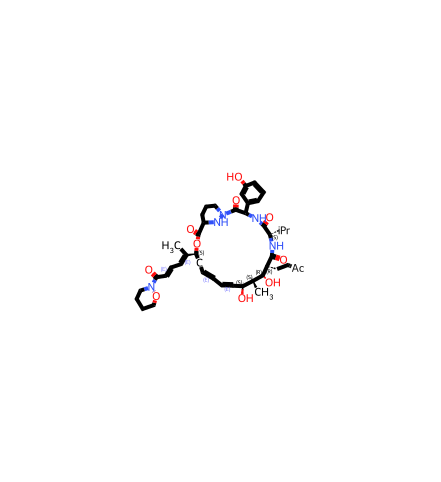 CC(=O)CC[C@H]1C(=O)N[C@@H](C(C)C)C(=O)NC(c2cccc(O)c2)C(=O)N2CCCC(N2)C(=O)O[C@H](/C(C)=C/C=C/C(=O)N2CCCCO2)C/C=C/C=C/[C@H](O)[C@H](C)[C@H]1O